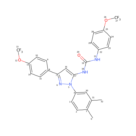 Cc1ccc(-n2nc(-c3ccc(OC(F)(F)F)cc3)cc2NC(=O)Nc2ccc(OC(F)(F)F)cc2)cc1C